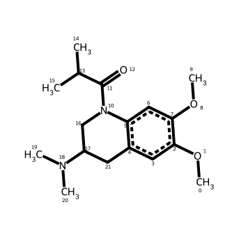 COc1cc2c(cc1OC)N(C(=O)C(C)C)CC(N(C)C)C2